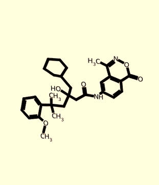 COc1ccccc1C(C)(C)CC(O)(CC(=O)Nc1ccc2c(=O)onc(C)c2c1)CC1CCCCC1